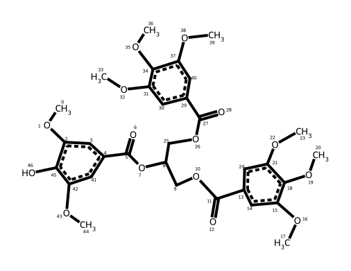 COc1cc(C(=O)OC(COC(=O)c2cc(OC)c(OC)c(OC)c2)COC(=O)c2cc(OC)c(OC)c(OC)c2)cc(OC)c1O